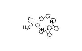 C/C=C\C=C(/CC)c1cccc(-c2cccc(-n3c4ccccc4c4c5c6ccccc6n(-c6cccc(-c7cccc(-c8ccccc8)c7)n6)c5ccc43)n2)c1